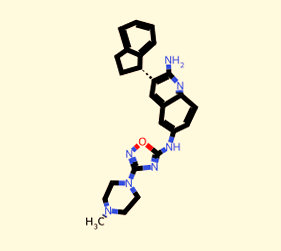 CN1CCN(c2noc(Nc3ccc4nc(N)c([C@@H]5CCc6ccccc65)cc4c3)n2)CC1